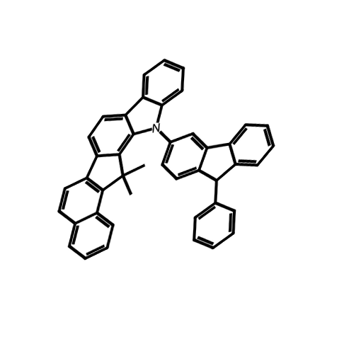 CC1(C)c2c(ccc3ccccc23)-c2ccc3c4ccccc4n(-c4ccc5c(c4)-c4ccccc4C5c4ccccc4)c3c21